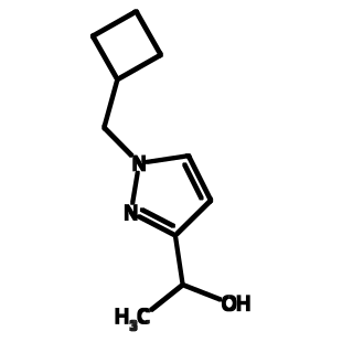 CC(O)c1ccn(CC2CCC2)n1